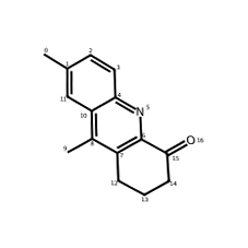 Cc1ccc2nc3c(c(C)c2c1)CCCC3=O